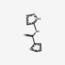 O=C(Nc1cnn[nH]1)c1cccs1